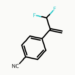 C=C(c1ccc(C#N)cc1)C(F)F